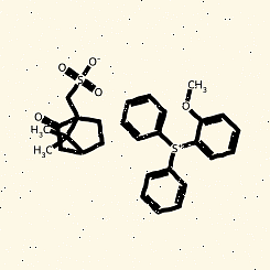 CC1(C)C2CCC1(CS(=O)(=O)[O-])C(=O)C2.COc1ccccc1[S+](c1ccccc1)c1ccccc1